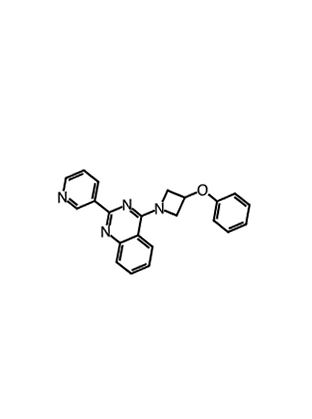 c1ccc(OC2CN(c3nc(-c4cccnc4)nc4ccccc34)C2)cc1